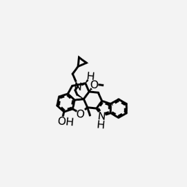 CO[C@@]12Cc3c([nH]c4ccccc34)C3(C)Oc4c(O)ccc5c4[C@@]31CCN(CC1CC1)[C@@H]2C5